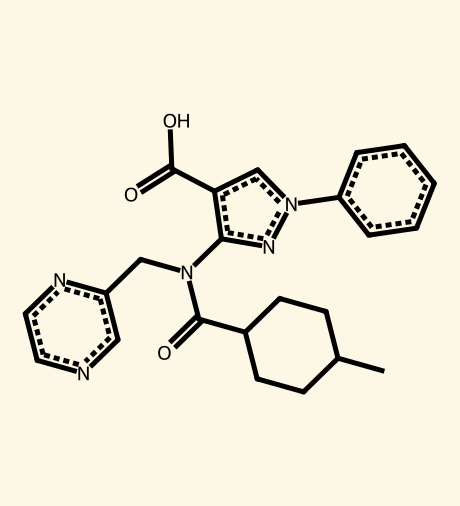 CC1CCC(C(=O)N(Cc2cnccn2)c2nn(-c3ccccc3)cc2C(=O)O)CC1